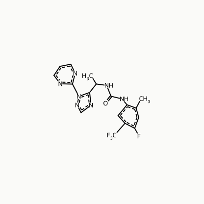 Cc1cc(F)c(C(F)(F)F)cc1NC(=O)NC(C)c1ncnn1-c1ncccn1